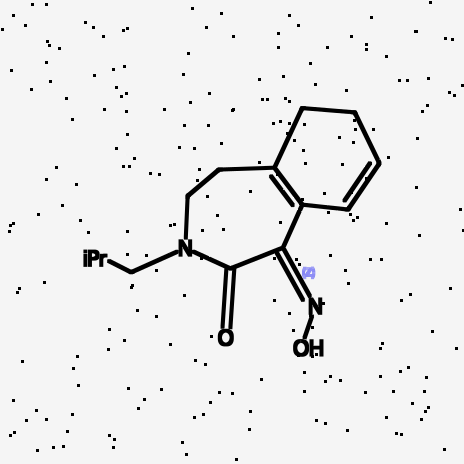 CC(C)CN1CCC2=C(C=CCC2)/C(=N/O)C1=O